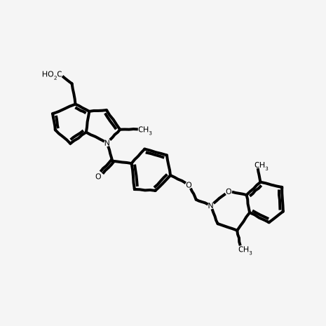 Cc1cccc2c1ON(COc1ccc(C(=O)n3c(C)cc4c(CC(=O)O)cccc43)cc1)CC2C